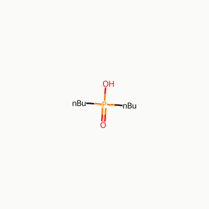 CCCCP(=O)(O)CCCC